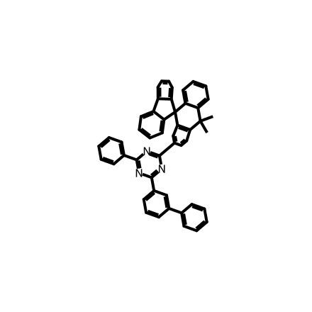 CC1(C)c2ccccc2C2(c3ccccc3-c3ccccc32)c2cc(-c3nc(-c4ccccc4)nc(-c4cccc(-c5ccccc5)c4)n3)ccc21